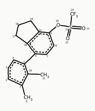 Cc1cccc(-c2ccc(OS(=O)(=O)C(F)(F)F)c3c2CCC3)c1C